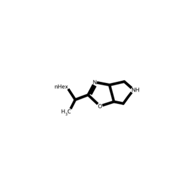 CCCCCCC(C)C1=NC2CNCC2O1